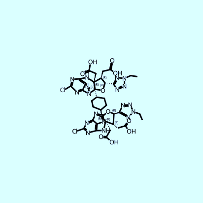 CCn1nnc([C@@H]2O[C@@]3(C4CCC([C@@]56O[C@@H](c7nnn(CC)n7)[C@H](CC(=O)O)[C@@]5(CC(=O)O)Nc5nc(Cl)nc7c5ncn76)CC4)n4cnc5c(nc(Cl)nc54)N[C@]3(CC(=O)O)[C@H]2CC(=O)O)n1